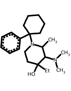 CCC1(O)CCN(C2(c3ccccc3)CCCCC2)C(C)C1N(C)C